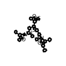 O=c1c2ccccc2c2cc(-c3cc(-c4cccc(-c5cc(-n6cc7c8cc(-c9ccccc9)cc9c%10ccccc%10c(=O)n(c7c6)c98)cc(-c6ccccc6)n5)c4)c4sc5cc(-c6ccc(-c7nc8c9cc(-c%10ccccc%10)cc%10c%11cc(-c%12ccccc%12)ccc%11n(c(=O)c8n7-c7ccccc7)c%109)cc6)ccc5c4c3)cc3c4cscc4n1c23